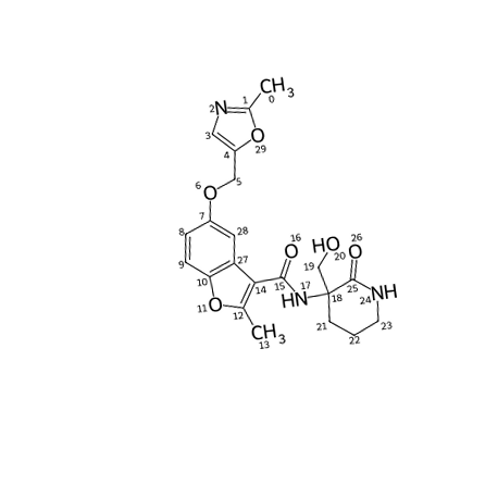 Cc1ncc(COc2ccc3oc(C)c(C(=O)NC4(CO)CCCNC4=O)c3c2)o1